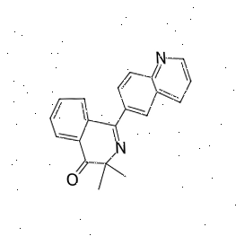 CC1(C)N=C(c2ccc3ncccc3c2)c2ccccc2C1=O